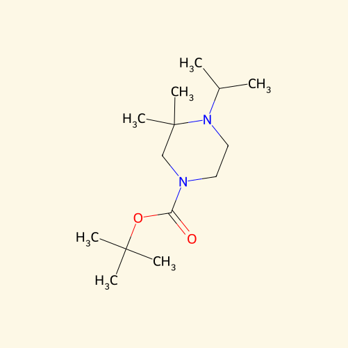 CC(C)N1CCN(C(=O)OC(C)(C)C)CC1(C)C